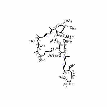 CC[C@H](OC)[C@@H](C)[C@@H]1O[C@H]1[C@H](O)[C@@H](C)/C=C/C=C(\C)[C@H]1O[C@H](OC)[C@@H](OC)[C@@H](OCCC[C@H](OC)[C@@H](C)[C@@H]2O[C@H]2[C@H](O)[C@@H](C)/C=C/C=C(\C)[C@H]2O[C@H](OC)[C@H](OC)[C@@H](OC)[C@H]2OC)[C@@H]1OC